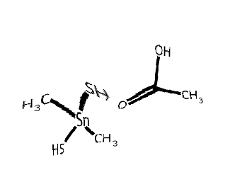 CC(=O)O.[CH3][Sn]([CH3])([SH])[SH]